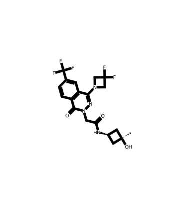 C[C@]1(O)C[C@@H](NC(=O)Cn2nc(N3CC(F)(F)C3)c3cc(C(F)(F)F)ccc3c2=O)C1